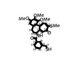 COc1cc2c(c(OC)c1OC)-c1ccc(SC)c(=O)cc1[C@@H](NC(=O)c1cccc(CS)c1)CC2